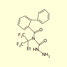 CCC(N(C(=O)NN)C(=O)c1ccccc1-c1ccccc1)(C(F)(F)F)C(F)(F)F